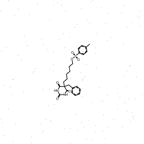 Cc1ccc(S(=O)(=O)OCCCCCCC2(Cc3ccccc3)C(=O)NC(=O)NC2=O)cc1